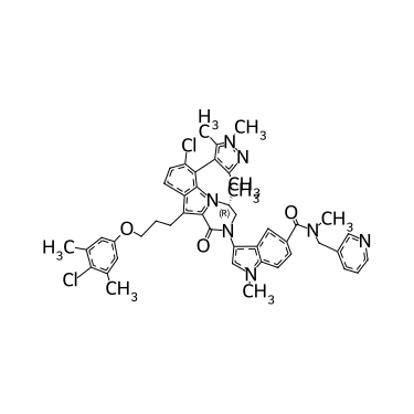 Cc1cc(OCCCc2c3n(c4c(-c5c(C)nn(C)c5C)c(Cl)ccc24)[C@H](C)CN(c2cn(C)c4ccc(C(=O)N(C)Cc5cccnc5)cc24)C3=O)cc(C)c1Cl